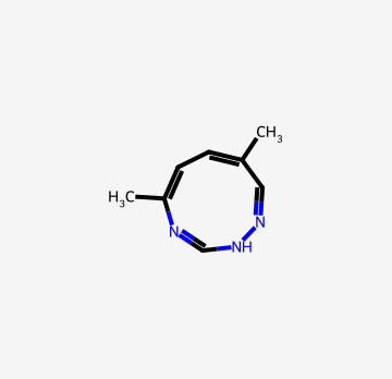 Cc1ccc(C)nc[nH]nc1